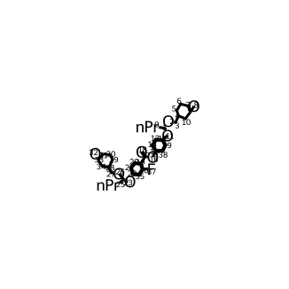 CCCC(OCC1CCC2OC2C1)Oc1ccc(OC(=O)c2ccc(OC(CCC)OCC3CCC4OC4C3)cc2F)cc1